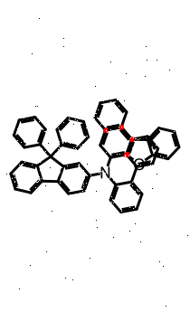 c1ccc(-c2cccc(-c3ccccc3N(c3ccc4c(c3)C(c3ccccc3)(c3ccccc3)c3ccccc3-4)c3cccc4c3oc3ccccc34)c2)cc1